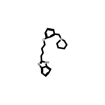 c1cc(CN2CCCCC2)cc(OCCCCc2nc3ccccc3[nH]2)c1